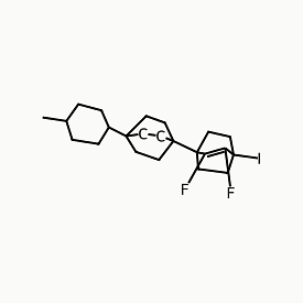 CC1CCC(C23CCC(C45CCC(I)(CC4)C(F)=C5F)(CC2)CC3)CC1